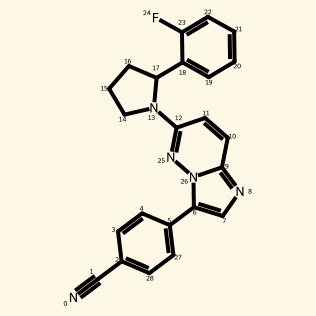 N#Cc1ccc(-c2cnc3ccc(N4CCCC4c4ccccc4F)nn23)cc1